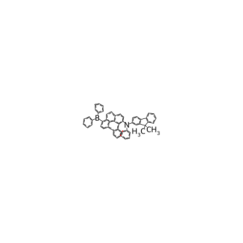 CC1(C)c2ccccc2-c2ccc(N(c3ccccc3)c3ccc4ccc5c(B(c6ccccc6)c6ccccc6)ccc6c7ccccc7c3c4c56)cc21